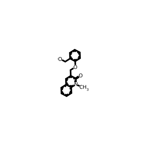 Cn1c(=O)c(COc2ccccc2C[O])cc2ccccc21